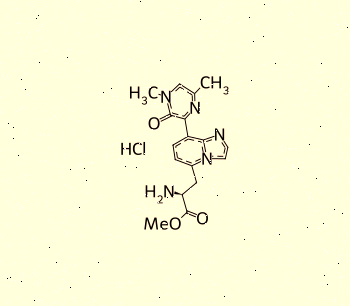 COC(=O)[C@@H](N)Cc1ccc(-c2nc(C)cn(C)c2=O)c2nccn12.Cl